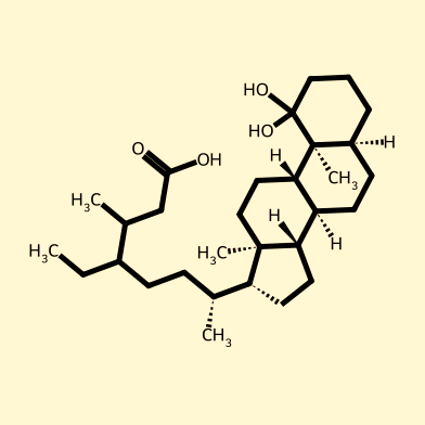 CCC(CC[C@@H](C)[C@H]1CC[C@H]2[C@@H]3CC[C@@H]4CCCC(O)(O)[C@]4(C)[C@H]3CC[C@]12C)C(C)CC(=O)O